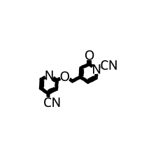 N#Cc1ccnc(OCc2ccn(C#N)c(=O)c2)c1